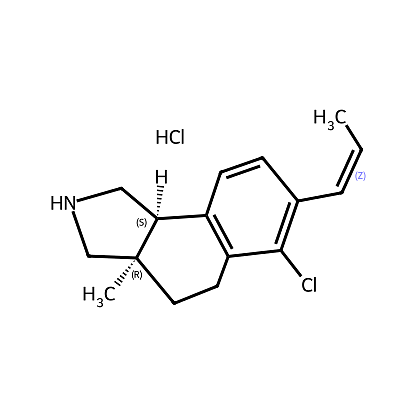 C/C=C\c1ccc2c(c1Cl)CC[C@@]1(C)CNC[C@@H]21.Cl